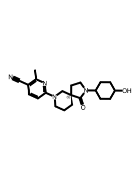 Cc1nc(N2CCC[C@]3(CCN(C4CCC(O)CC4)C3=O)C2)ccc1C#N